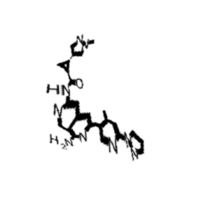 Cc1cc(-n2cccn2)ncc1-c1cc2cc(NC(=O)[C@H]3C[C@@H]3c3cnn(C)c3)ncc2c(N)n1